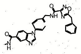 C=C(/C=C\C(=C/C)n1cnc2cc(C(=O)NC)ccc21)CNC(=O)c1noc(Cc2ccccc2)n1